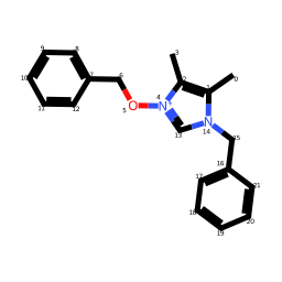 Cc1c(C)[n+](OCc2ccccc2)cn1Cc1ccccc1